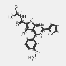 COc1cccc(-c2nc(-c3cccs3)nc3sc(C(=O)NC(C)C)c(N)c23)c1